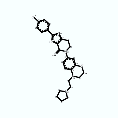 O=C1c2sc(-c3ccc(Cl)cc3)nc2CCN1c1ccc2c(c1)OCCN2CCN1CCCC1